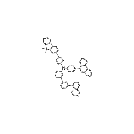 CC1(C)c2ccccc2-c2ccc(-c3ccc(N(c4ccc(-c5cc6ccccc6c6ccccc56)cc4)c4cccc(-c5cccc(-c6cccc7ccccc67)c5)c4)cc3)cc21